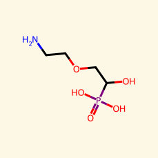 NCCOCC(O)P(=O)(O)O